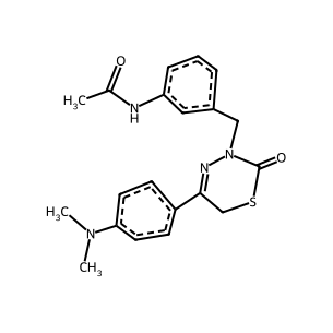 CC(=O)Nc1cccc(CN2N=C(c3ccc(N(C)C)cc3)CSC2=O)c1